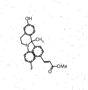 COC(=O)C=Cc1ccc(C2(C)c3ccc(O)cc3CCN2c2ccc(F)cc2)cc1